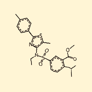 CCN(c1nc(-c2ccc(C)cc2)sc1C)S(=O)(=O)c1ccc(C(C)C)c(C(=O)OC)c1